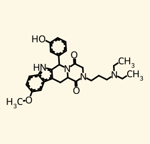 CCN(CC)CCCN1CC(=O)N2C(Cc3c([nH]c4ccc(OC)cc34)C2c2cccc(O)c2)C1=O